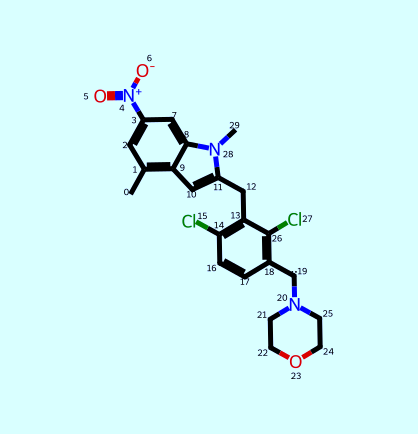 Cc1cc([N+](=O)[O-])cc2c1cc(Cc1c(Cl)ccc([C]N3CCOCC3)c1Cl)n2C